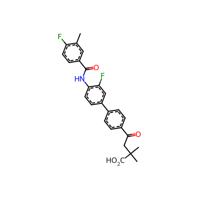 Cc1cc(C(=O)Nc2ccc(-c3ccc(C(=O)CC(C)(C)C(=O)O)cc3)cc2F)ccc1F